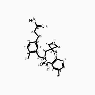 Cc1cnc2c(c1)S(=O)(=O)N(Cc1cc(CCC(=O)O)ccc1C)CC1(COC1)O2